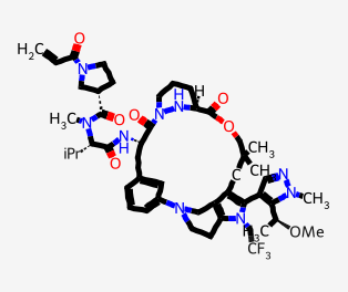 C=CC(=O)N1CC[C@H](C(=O)N(C)[C@H](C(=O)N[C@H]2Cc3cccc(c3)N3CCc4c(c(c(-c5cnn(C)c5[C@H](C)OC)n4CC(F)(F)F)CC(C)(C)COC(=O)[C@@H]4CCCN(N4)C2=O)C3)C(C)C)C1